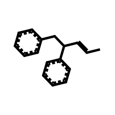 CC=CC(Cc1ccccc1)c1ccccc1